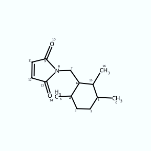 CC1CCC(C)C(CN2C(=O)C=CC2=O)C1C